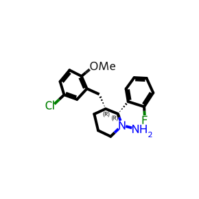 COc1ccc(Cl)cc1C[C@H]1CCCN(N)[C@H]1c1ccccc1F